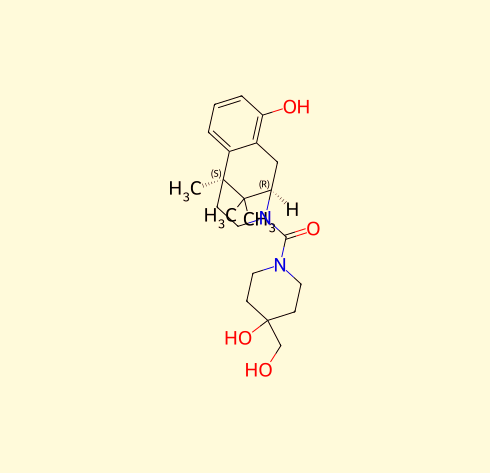 CC1(C)[C@H]2Cc3c(O)cccc3[C@]1(C)CCN2C(=O)N1CCC(O)(CO)CC1